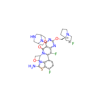 Nc1nc2c(-c3c(F)c4nc(OC[C@@]56CCCN5C[C@H](F)C6)nc(N5C6CNCC5COC6)c4c(=O)n3C3COC3)ccc(F)c2s1